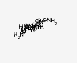 NCCOCCNC(=O)c1ccc(NC(=O)c2ncc(Cc3c(C(F)(F)F)n[nH]c3-c3ccc(N)cn3)[nH]2)cc1Cl